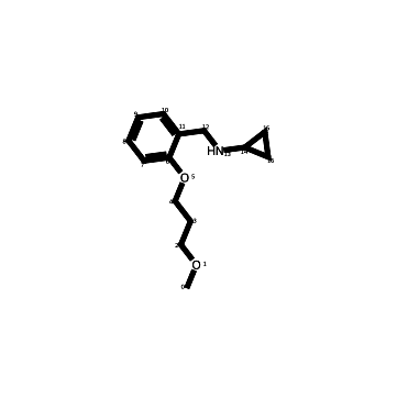 COCCCOc1ccccc1CNC1CC1